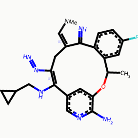 CN/C=C1/C/C(N=N)=C(/NCC2CC2)c2cnc(N)c(c2)OC(C)c2cc(F)ccc2C1=N